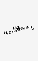 CCCCCCCCCCCCCCCCN.Cl.O